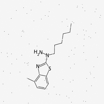 CCCCCCN(N)c1nc2c(C)cccc2s1